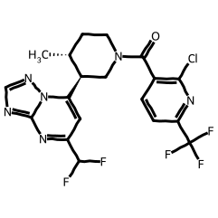 C[C@@H]1CCN(C(=O)c2ccc(C(F)(F)F)nc2Cl)C[C@H]1c1cc(C(F)F)nc2ncnn12